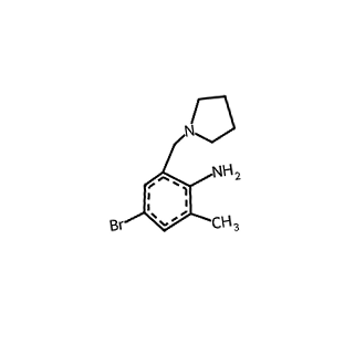 Cc1cc(Br)cc(CN2CCCC2)c1N